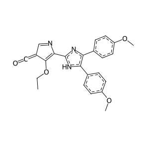 CCOC1=C(c2nc(-c3ccc(OC)cc3)c(-c3ccc(OC)cc3)[nH]2)N=CC1=C=O